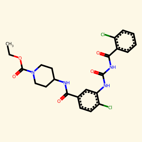 CCOC(=O)N1CCC(NC(=O)c2ccc(Cl)c(NC(=O)NC(=O)c3ccccc3Cl)c2)CC1